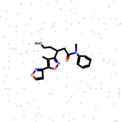 COCCC(CC(=O)N(C)c1ccccc1)c1noc(-c2ccon2)c1C